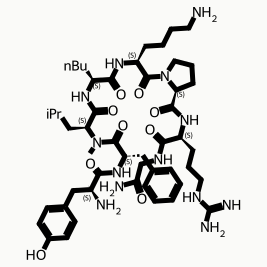 CCCC[C@H](NC(=O)[C@H](CC(C)C)N(C)C(=O)[C@H](Cc1ccccc1)NC(=O)[C@@H](N)Cc1ccc(O)cc1)C(=O)N[C@@H](CCCCN)C(=O)N1CCC[C@H]1C(=O)N[C@@H](CCCNC(=N)N)C(=O)NCC(N)=O